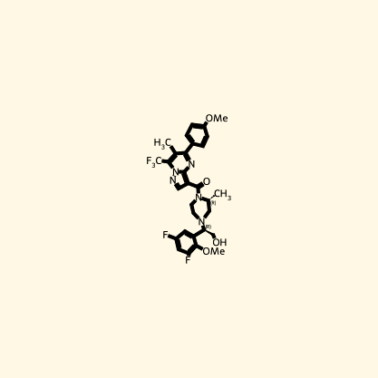 COc1ccc(-c2nc3c(C(=O)N4CCN([C@@H](CO)c5cc(F)cc(F)c5OC)C[C@H]4C)cnn3c(C(F)(F)F)c2C)cc1